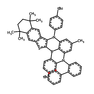 Cc1cc2c3c(c1)N(c1ccc(C(C)(C)C)cc1)c1c(sc4cc5c(cc14)C(C)(C)CCC5(C)C)B3c1ccc(C(C)(C)C)cc1N2c1ccccc1-c1ccccc1